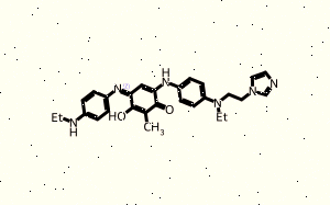 CCNc1ccc(/N=C2/C=C(Nc3ccc(N(CC)CCn4ccnc4)cc3)C(=O)C(C)=C2O)cc1